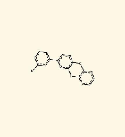 Brc1cccc(-c2ccc3c(c2)Oc2nccnc2O3)c1